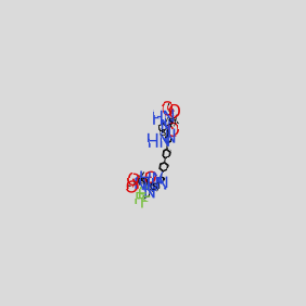 COC(=O)N[C@H](C(=O)N1CCC[C@H]1c1ncc(-c2ccc(-c3ccc(-c4cnc([C@@H]5CN(CC(F)(F)F)CN5C(=O)[C@@H](NC(=O)OC)C(C)C)[nH]4)cc3)cc2)[nH]1)C(C)C